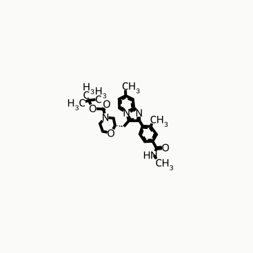 CNC(=O)c1ccc(-c2nc3cc(C)ccn3c2C[C@H]2CN(C(=O)OC(C)(C)C)CCO2)c(C)c1